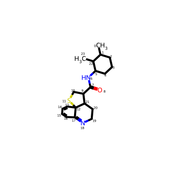 CC1CCCC(NC(=O)C2CSC34C=CC=CC3=NCCC24)C1C